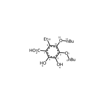 CCCCOc1c(O)c(O)c(C(=O)O)c(CC)c1OCCCC